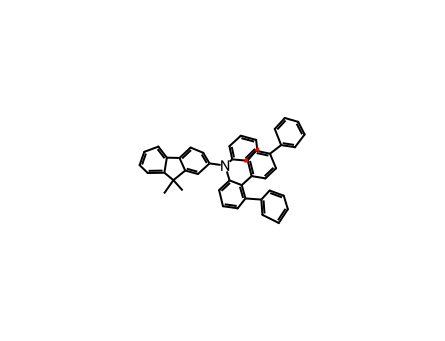 CC1(C)c2ccccc2-c2ccc(N(c3ccccc3)c3cccc(-c4ccccc4)c3-c3ccc(-c4ccccc4)cc3)cc21